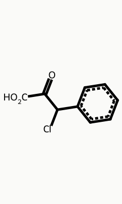 O=C(O)C(=O)C(Cl)c1ccccc1